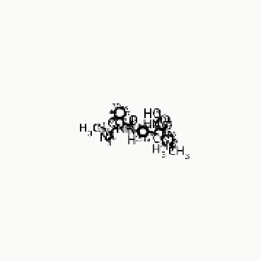 CCn1nccc1C(=O)N[C@H](C(=O)Nc1ccc([C@H](C)[C@@H](NC(=O)O)C(=O)N2CCN(C)CC2)cc1)C1CCCCC1